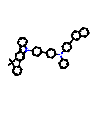 CC1(C)c2ccccc2-c2cc3c(cc21)c1ccccc1n3-c1ccc(-c2ccc(N(c3ccccc3)c3ccc(-c4ccc5ccccc5c4)cc3)cc2)cc1